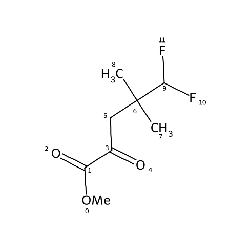 COC(=O)C(=O)CC(C)(C)C(F)F